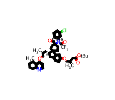 COC(=O)C1(N(C(=O)C(F)(F)F)c2cccc(Cl)c2)CCC2(CC1)c1cc(OCC(C)CC(=O)OC(C)(C)C)ccc1C[C@@H]2C[C@@H](C)COc1ccnc2c1[C@H](C)CCC2